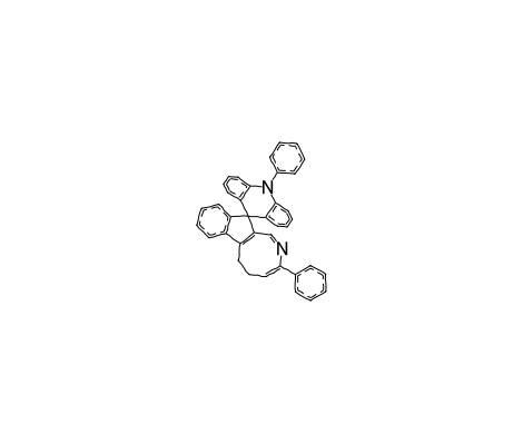 C1=N\C(c2ccccc2)=C/CCC2=C/1C1(c3ccccc32)c2ccccc2N(c2ccccc2)c2ccccc21